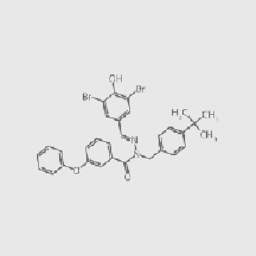 CC(C)(C)c1ccc(CN(N=Cc2cc(Br)c(O)c(Br)c2)C(=O)c2cccc(Oc3ccccc3)c2)cc1